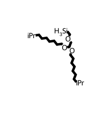 CC(C)CCCCCCCOC(COC[SiH3])OCCCCCCCC(C)C